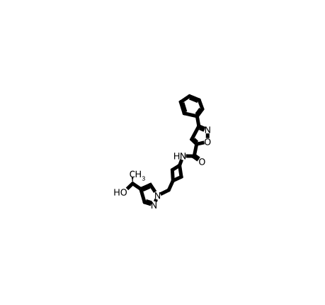 C[C@@H](O)c1cnn(CC2CC(NC(=O)c3cc(-c4ccccc4)no3)C2)c1